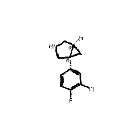 Fc1ccc([C@]23CNC[C@H]2C3)cc1Cl